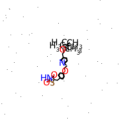 CC(C)(C)[Si](C)(C)OCCc1ccc(CCOc2ccc(CC3SC(=O)NC3=O)cc2)nc1